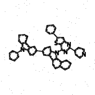 c1ccc(-c2cc3nc(-c4ccncc4)nc(-n4c5ccc(-c6ccc7c(c6)c6ccccc6n7-c6ccccc6)cc5c5ccc6ccccc6c54)c3s2)cc1